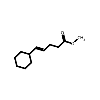 COC(=O)CC/C=C/C1CCCCC1